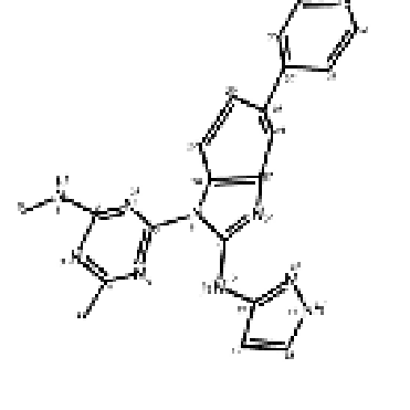 CNc1nc(C)nc(-n2c(Nc3cc[nH]n3)nc3cc(-c4ccncc4)ccc32)n1